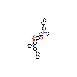 c1ccc(N(c2ccc(-c3ccc4ccccc4c3)cc2)c2ccc3c(c2)Oc2cccc4c2c-3cc2oc3cc(N(c5ccccc5)c5ccc(-c6ccc7ccccc7c6)cc5)ccc3c24)cc1